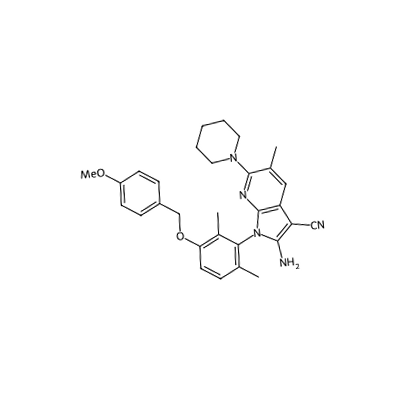 COc1ccc(COc2ccc(C)c(-n3c(N)c(C#N)c4cc(C)c(N5CCCCC5)nc43)c2C)cc1